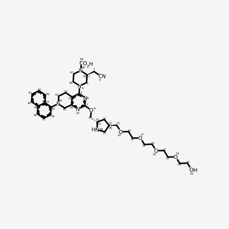 N#CC[C@H]1CN(c2nc(OC[C@@H]3C[C@@H](COCCOCCOCCOCCO)CN3)nc3c2CCN(c2cccc4ccccc24)C3)CCN1C(=O)O